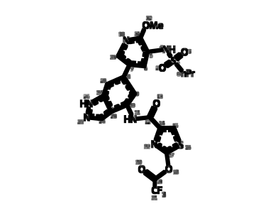 CCCS(=O)(=O)Nc1cc(-c2cc(NC(=O)c3csc(OC(=O)C(F)(F)F)n3)c3cn[nH]c3c2)cnc1OC